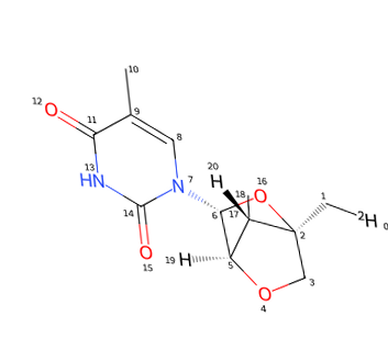 [2H]C[C@@]12CO[C@@H]([C@H](n3cc(C)c(=O)[nH]c3=O)O1)[C@@H]2C